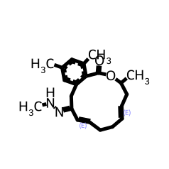 CNN=C1/C=C/CC/C=C/CC(C)OC(=O)c2c(C)cc(C)cc2C1